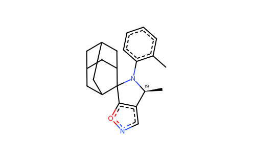 Cc1ccccc1N1[C@@H](C)c2cnoc2C12C1CC3CC(C1)CC2C3